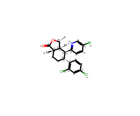 C[C@H]1OC(=O)[C@H]2CC[C@@H](c3ccc(Cl)cc3Cl)[C@H](c3ccc(Br)cn3)[C@@H]21